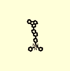 c1ccc(-c2nc(-c3ccccc3)nc(-c3ccc(-c4ccc5cc(-c6cc7c8c(cccc8c6)-c6ccccc6-7)ccc5c4)cc3)n2)cc1